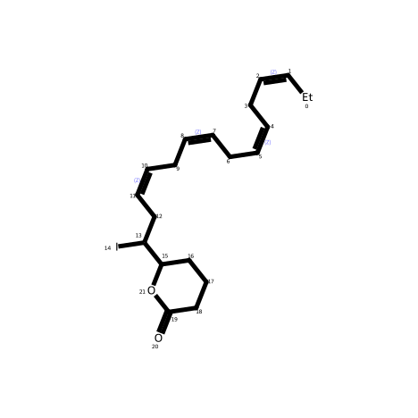 CC/C=C\C/C=C\C/C=C\C/C=C\CC(I)C1CCCC(=O)O1